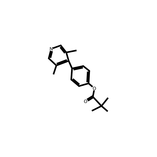 Cc1cncc(C)c1-c1ccc(OC(=O)C(C)(C)C)cc1